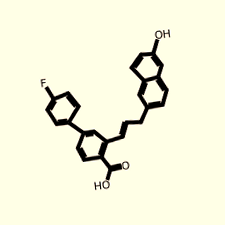 O=C(O)c1ccc(-c2ccc(F)cc2)cc1/C=C/Cc1ccc2cc(O)ccc2c1